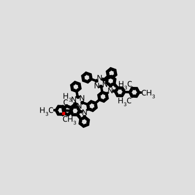 Cc1cc(C)c(-c2ccc3c(c2)c2ccccc2n3-c2ccc(-c3ccc(-n4c5ccccc5c5cc(-c6c(C)cc(C)cc6C)ccc54)c(-c4nc(-c5ccccc5)nc(-c5ccccc5)n4)c3)cc2-c2nc(-c3ccccc3)nc(-c3ccccc3)n2)c(C)c1